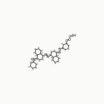 SOOOC1CCCC(N=NC2CCC(N=NC3CCC(NC4CCCCC4)C4CCCCC34)C3CCCCC23)C1